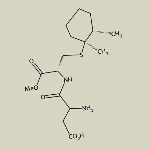 COC(=O)[C@H](CS[C@@]1(C)CCCC[C@@H]1C)NC(=O)C(N)CC(=O)O